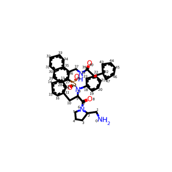 NCC1CCCN1C(=O)C(Cc1ccccc1)N(c1ccccc1)S(=O)(=O)c1ccc2ccccc2c1CNC(=O)Cc1ccccc1